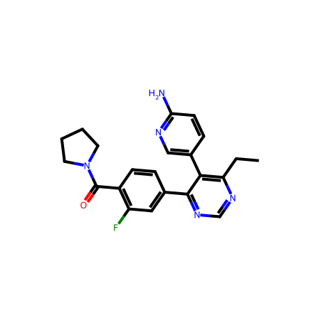 CCc1ncnc(-c2ccc(C(=O)N3CCCC3)c(F)c2)c1-c1ccc(N)nc1